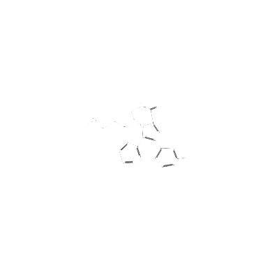 O=C(O)NCCC[C@H]1CNC(=O)c2cc(-c3cccc(OC(F)(F)F)c3)c(-c3ccc(O)cc3)n21